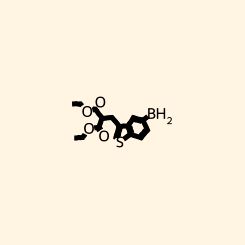 Bc1ccc2scc(CC(C(=O)OCC)C(=O)OCC)c2c1